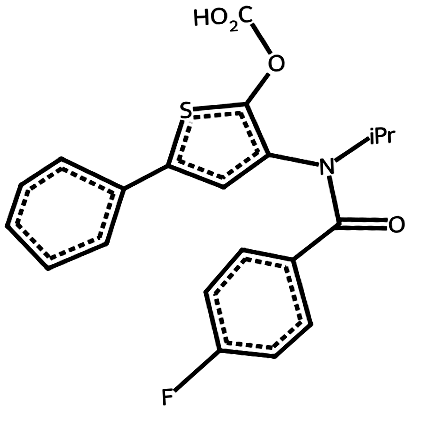 CC(C)N(C(=O)c1ccc(F)cc1)c1cc(-c2ccccc2)sc1OC(=O)O